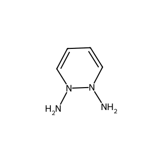 NN1C=CC=CN1N